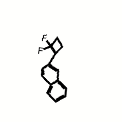 FC1(F)CCC1c1ccc2ccccc2c1